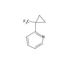 FC(F)(F)C1(c2ccc[c]n2)CC1